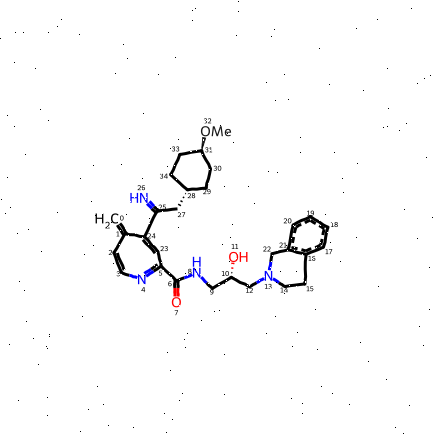 C=C1C=CN=C(C(=O)NC[C@H](O)CN2CCc3ccccc3C2)C=C1C(=N)C[C@H]1CC[C@H](OC)CC1